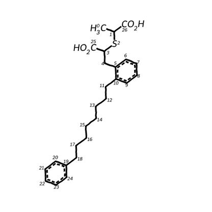 CC(SC(Cc1ccccc1CCCCCCCCc1ccccc1)C(=O)O)C(=O)O